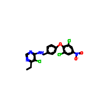 CCc1ncnc(NCc2ccc(Oc3c(Cl)cc([N+](=O)[O-])cc3Cl)cc2)c1Cl